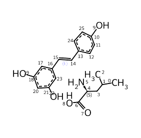 CC(C)C[C@H](N)C(=O)O.Oc1ccc(/C=C/c2cc(O)cc(O)c2)cc1